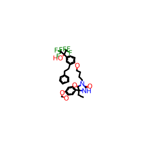 CCC1(c2ccc3c(c2)OCO3)NC(=O)N(CCCCOc2ccc(C(O)(C(F)(F)F)C(F)(F)F)cc2CCc2ccccc2)C1=O